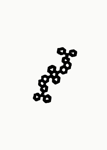 c1ccc(N(c2ccccc2)c2ccc3c(c2)CCC2CCC(c4c5ccccc5c(C5CCC6CCc7cc(N(c8ccccc8)c8ccccc8)ccc7C6C5)c5ccccc45)CC32)cc1